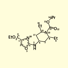 CCOC(=O)c1coc(NC2CC(CC)N(C(=O)OC(C)C)C(CC)C2)n1